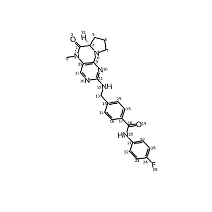 CN1C(=O)[C@H]2CCCN2c2nc(NCc3ccc(C(=O)Nc4ccc(F)cc4)cc3)ncc21